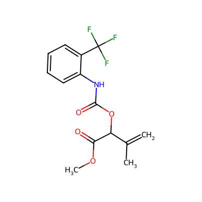 C=C(C)C(OC(=O)Nc1ccccc1C(F)(F)F)C(=O)OC